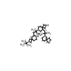 CC(C)(C)N1CC2(CCNC(CC(C)(C)N3CCC4(CNC4)C(CC(C)(C)N4CCCC5(CCOC5)C4)C3)C2)C1